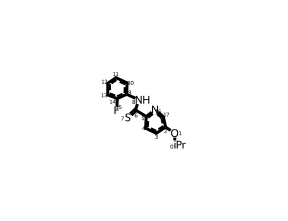 CC(C)Oc1ccc(C(=S)Nc2ccccc2F)nc1